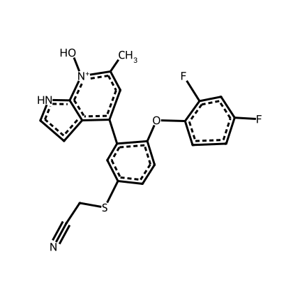 Cc1cc(-c2cc(SCC#N)ccc2Oc2ccc(F)cc2F)c2cc[nH]c2[n+]1O